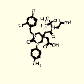 Cc1ccc(N2CC(CC(=O)O)(CC(=O)N(CCO)C(C)(C)C)CN(Cc3ccc(Cl)cc3Cl)C2=O)cc1